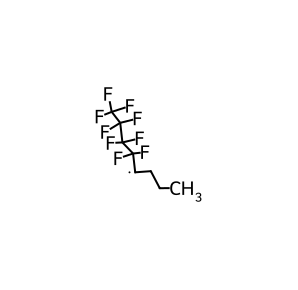 CCC[CH]C(F)(F)C(F)(F)C(F)(F)C(F)(F)F